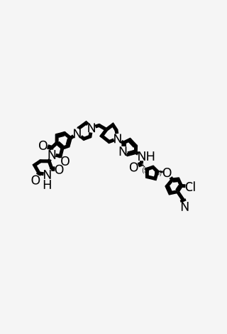 N#Cc1ccc(O[C@H]2CC[C@H](C(=O)Nc3ccc(N4CCC(CN5CCN(c6ccc7c(c6)C(=O)N(C6CCC(=O)NC6=O)C7=O)CC5)CC4)nc3)C2)cc1Cl